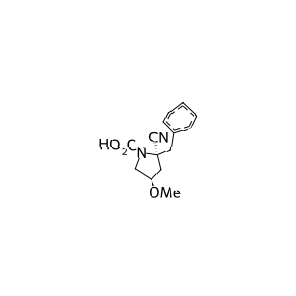 CO[C@H]1CN(C(=O)O)[C@@](C#N)(Cc2ccccc2)C1